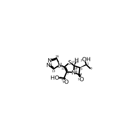 CC(O)[C@H]1C(=O)N2C(C(=O)O)=C(n3cnnc3)S[C@H]12